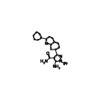 CC(C)n1nc(-c2ccc3ccc(-c4ccccc4)nc3c2)c(C(N)=O)c1N